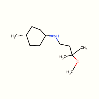 COC(C)(C)CCN[C@H]1CC[C@H](C)CC1